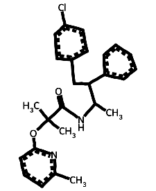 Cc1cccc(OC(C)(C)C(=O)NC(C)C(Cc2ccc(Cl)cc2)c2ccccc2)n1